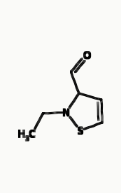 CCN1SC=CC1C=O